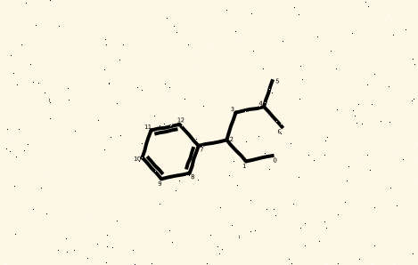 CCC(CC(C)C)c1ccccc1